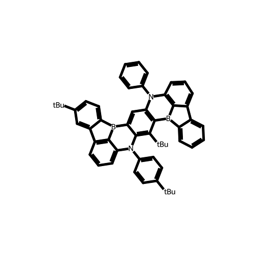 CC(C)(C)c1ccc(N2c3cccc4c3B(c3ccc(C(C)(C)C)cc3-4)c3cc4c(c(C(C)(C)C)c32)B2c3ccccc3-c3cccc(c32)N4c2ccccc2)cc1